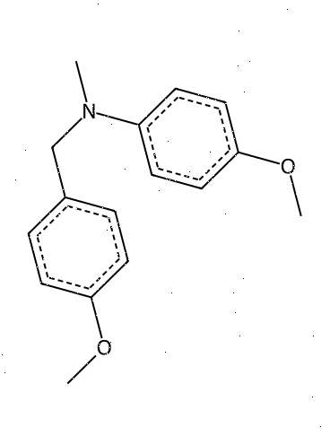 COc1ccc(CN(C)c2ccc(OC)cc2)cc1